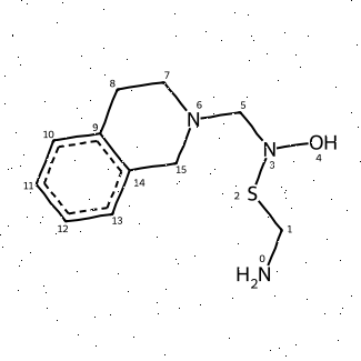 NCSN(O)CN1CCc2ccccc2C1